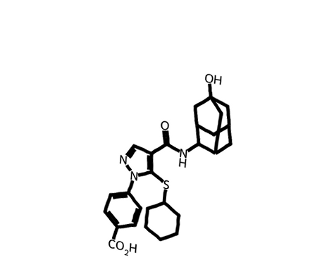 O=C(O)c1ccc(-n2ncc(C(=O)NC3C4CC5CC3CC(O)(C5)C4)c2SC2CCCCC2)cc1